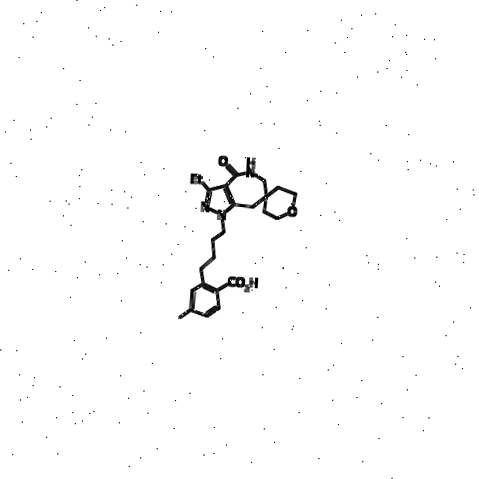 CCc1nn(CCCCc2cc(C)ccc2C(=O)O)c2c1C(=O)NCC1(CCOCC1)C2